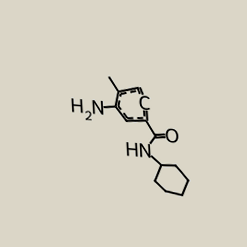 Cc1ccc(C(=O)NC2CCCCC2)cc1N